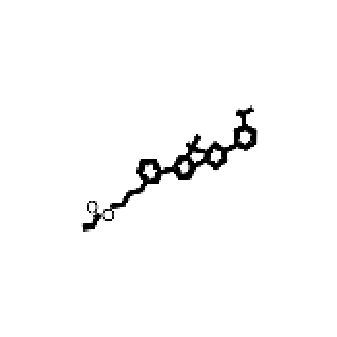 C=CC(=O)OCCCCc1cccc(-c2ccc3c(c2)C(C)(C)c2cc(-c4cccc(C(=C)C)c4)ccc2-3)c1